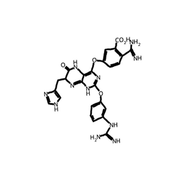 N=C(N)Nc1cccc(OC2=NC(Oc3ccc(C(=N)N)c(C(=O)O)c3)=C3NC(=O)C(Cc4c[nH]cn4)N=C3N2)c1